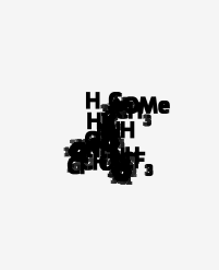 COCC(C)(C)CCNc1nc2c(C(=O)Nc3cccc(Cl)c3C)cc(NC(=O)c3ccccc3C(F)(F)F)cc2[nH]1